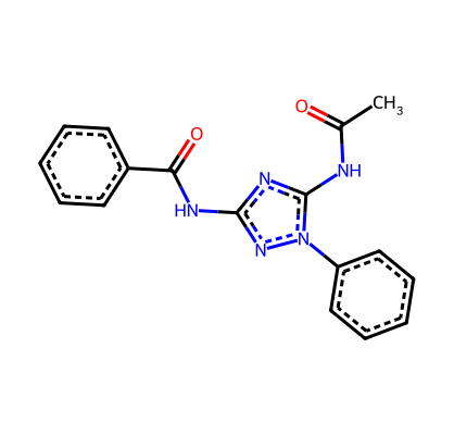 CC(=O)Nc1nc(NC(=O)c2ccccc2)nn1-c1ccccc1